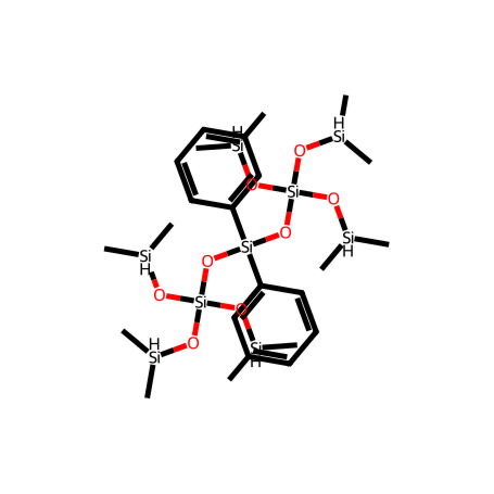 C[SiH](C)O[Si](O[SiH](C)C)(O[SiH](C)C)O[Si](O[Si](O[SiH](C)C)(O[SiH](C)C)O[SiH](C)C)(c1ccccc1)c1ccccc1